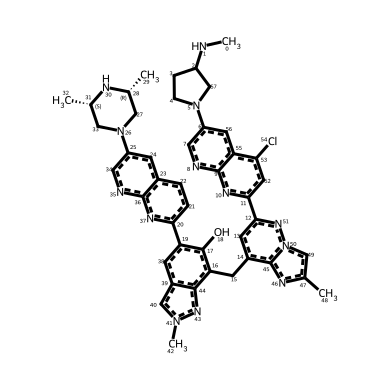 CNC1CCN(c2cnc3nc(-c4cc(Cc5c(O)c(-c6ccc7cc(N8C[C@@H](C)N[C@@H](C)C8)cnc7n6)cc6cn(C)nc56)c5nc(C)cn5n4)cc(Cl)c3c2)C1